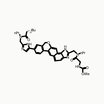 CCCN(Cc1ncc(-c2ccc3c(c2)COc2cc4c(ccc5nc(CN(CCC)C(=O)CNC(=O)OC)[nH]c54)cc2-3)[nH]1)C(=O)C[C@@H](C)CC